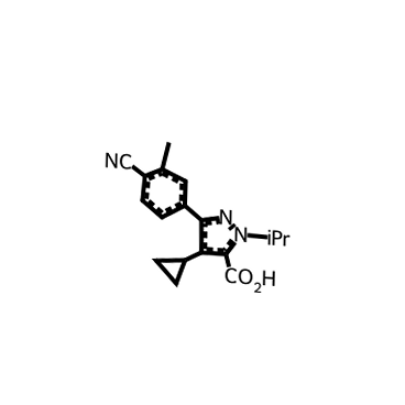 Cc1cc(-c2nn(C(C)C)c(C(=O)O)c2C2CC2)ccc1C#N